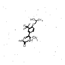 C[C@H](O)COc1ccc(C2=NNC(=O)N[C@H]2C)cc1C(F)(F)F